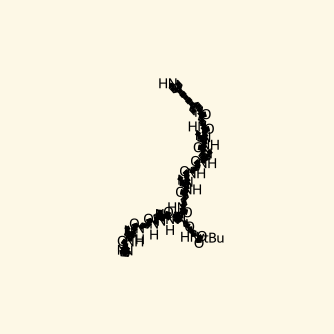 Cn1cc(NC(=O)c2nccn2C)cc1C(=O)NCCC(=O)Nc1cn(C)c(C(=O)Nc2cc(C(=O)NCCCC(=O)Nc3cn(C)c(C(=O)NCCC(=O)Nc4cc(C(=O)Nc5cn(C)c(C(=O)NCCC(=O)N6CCC(C#CC#CC7CCNCC7)CC6)n5)n(C)c4)n3)n(CCOCCNC(=O)OC(C)(C)C)c2)n1